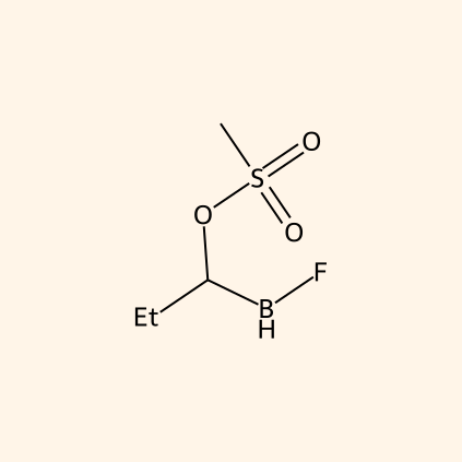 CCC(BF)OS(C)(=O)=O